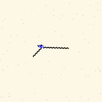 CCCCCCCCCCCCCCCCCCCN1C=CN(CC)C1CCCCCCCCC